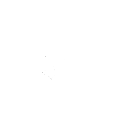 CCOC(=O)C1CC1C1c2c[nH]nc2C=CC1F